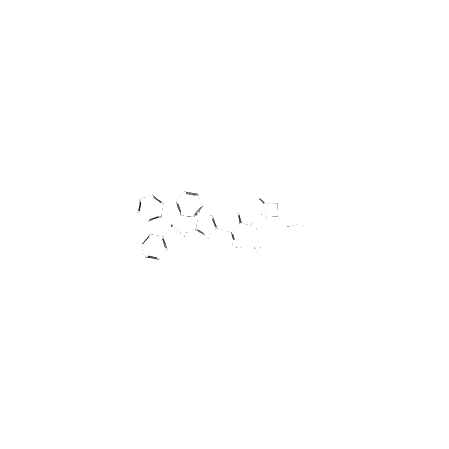 CON=C(C(=O)NN1C(=O)CC1CS)c1csc(NC(c2ccccc2)(c2ccccc2)c2ccccc2)n1